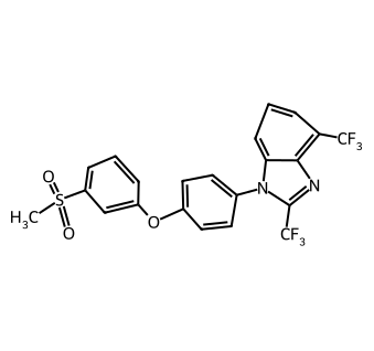 CS(=O)(=O)c1cccc(Oc2ccc(-n3c(C(F)(F)F)nc4c(C(F)(F)F)cccc43)cc2)c1